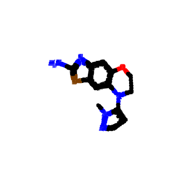 Cn1nccc1N1CCOc2cc3nc(N)sc3cc21